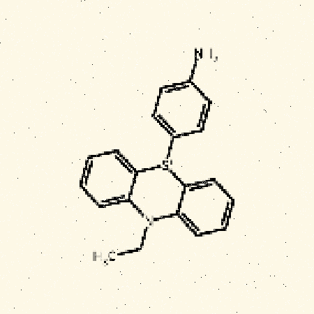 CCN1c2ccccc2[S+](c2ccc(N)cc2)c2ccccc21